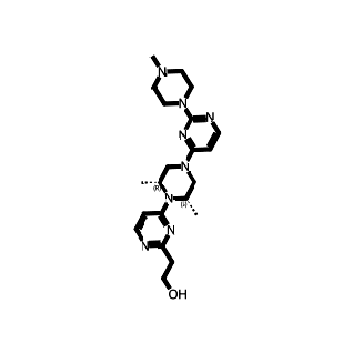 C[C@@H]1CN(c2ccnc(N3CCN(C)CC3)n2)C[C@H](C)N1c1ccnc(CCO)n1